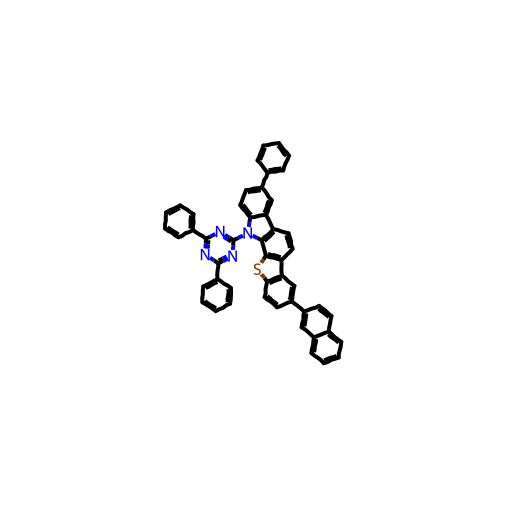 c1ccc(-c2ccc3c(c2)c2ccc4c5cc(-c6ccc7ccccc7c6)ccc5sc4c2n3-c2nc(-c3ccccc3)nc(-c3ccccc3)n2)cc1